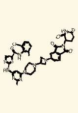 Cc1nc(Nc2ncc(C(=O)Nc3c(C)cccc3Cl)s2)cc(N2CCN(C3CN(c4ccc5c(c4)C(=O)N(C4CCC(=O)NC4=O)C5=O)C3)CC2)n1